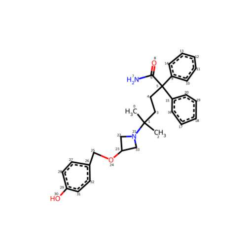 CC(C)(CCC(C(N)=O)(c1ccccc1)c1ccccc1)N1CC(OCc2ccc(O)cc2)C1